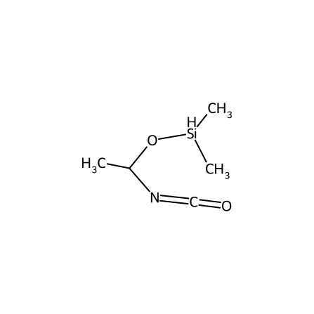 CC(N=C=O)O[SiH](C)C